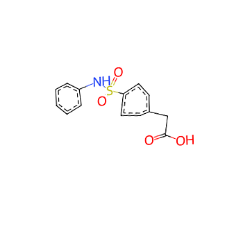 O=C(O)Cc1ccc(S(=O)(=O)Nc2ccccc2)cc1